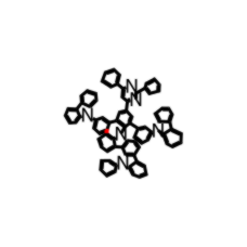 c1ccc(-c2cc(-c3cc(-c4cccc(-n5c6ccccc6c6ccccc65)c4)c(-n4c5ccccc5c5c4ccc4c6ccccc6n(-c6ccccc6)c45)c(-c4cccc(-n5c6ccccc6c6ccccc65)c4)c3)nc(-c3ccccc3)n2)cc1